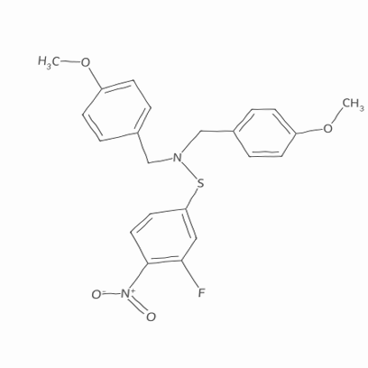 COc1ccc(CN(Cc2ccc(OC)cc2)Sc2ccc([N+](=O)[O-])c(F)c2)cc1